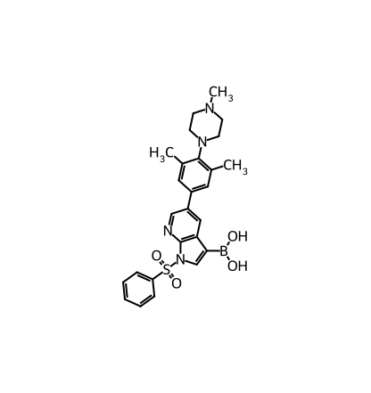 Cc1cc(-c2cnc3c(c2)c(B(O)O)cn3S(=O)(=O)c2ccccc2)cc(C)c1N1CCN(C)CC1